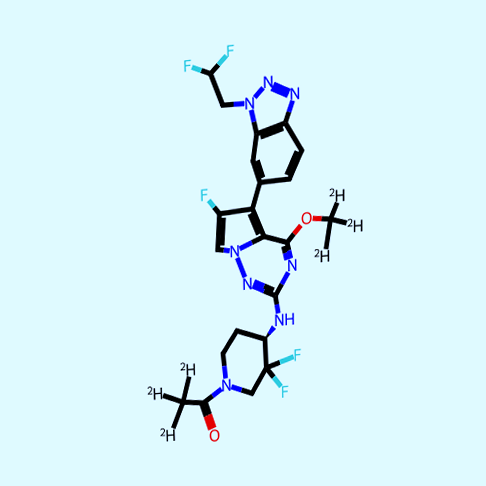 [2H]C([2H])([2H])Oc1nc(N[C@@H]2CCN(C(=O)C([2H])([2H])[2H])CC2(F)F)nn2cc(F)c(-c3ccc4nnn(CC(F)F)c4c3)c12